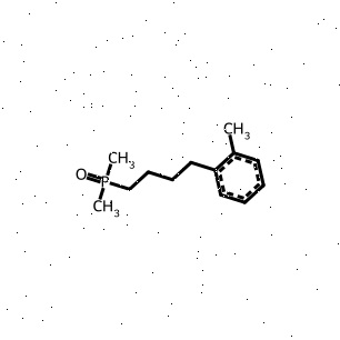 Cc1ccccc1CCCCP(C)(C)=O